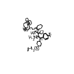 COC1CCC([C@H](c2ccc(F)cc2)[C@H](N)C(=O)N[C@H]2CCCC[C@@H]2CC[C@H]2CN[C@@H]3CCCS(=O)(=O)N2C3)CC1